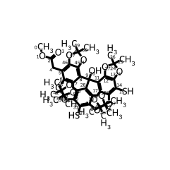 COC(=O)Cc1c2c(c(C(O)(c3c4c(c(S)c5c3OC(C)(C)O5)OC(C)(C)O4)c3c4c(c(S)c5c3OC(C)(C)O5)OC(C)(C)O4)c3c1OC(C)(C)O3)OC(C)(C)O2